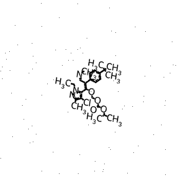 CCn1nc(C)c(Cl)c1/C(OCOC(=O)OC(C)C)=C(\C=N/C)c1ccc(C(C)(C)C)cc1